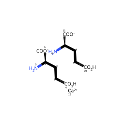 N[C@H](CCC(=O)O)C(=O)[O-].N[C@H](CCC(=O)O)C(=O)[O-].[Ca+2]